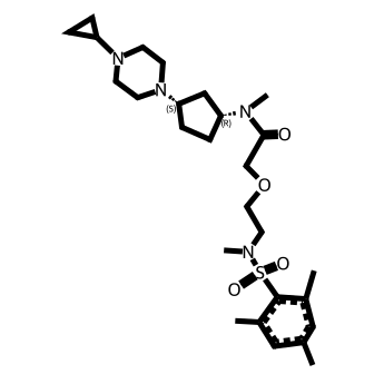 Cc1cc(C)c(S(=O)(=O)N(C)CCOCC(=O)N(C)[C@@H]2CC[C@H](N3CCN(C4CC4)CC3)C2)c(C)c1